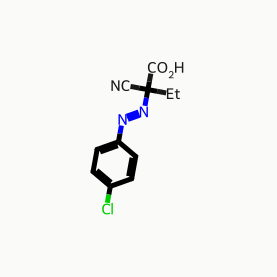 CCC(C#N)(/N=N/c1ccc(Cl)cc1)C(=O)O